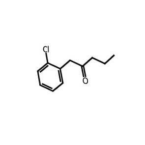 CCCC(=O)Cc1ccccc1Cl